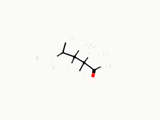 CCCCCCCC(=O)C(C)(C(=O)O)C(OC)(C(=O)O)C(C)C(=O)O